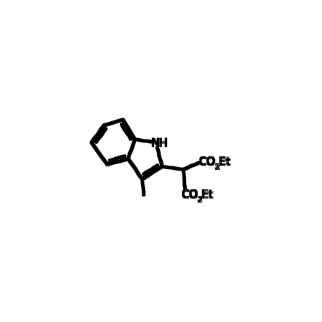 CCOC(=O)C(C(=O)OCC)c1[nH]c2ccccc2c1C